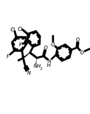 COC(=O)c1ccc(NC(=O)[C@H](N)[C@H](c2cccc(Cl)c2F)C(C)(C#N)c2ccc(Cl)cc2F)c(OC)c1